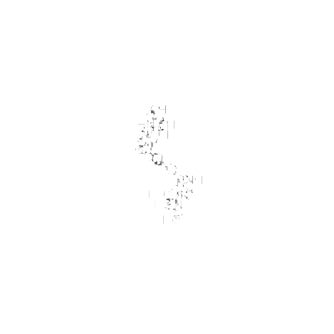 COC(=O)N[C@H](C(=O)N1CCC[C@H]1c1nc(-c2ccc(C34CCC(c5coc([C@@H]6CCCN6C(=O)[C@@H](NC(=O)OC)C(C)C)n5)(CC3)CC4)cc2)c[nH]1)C(C)C